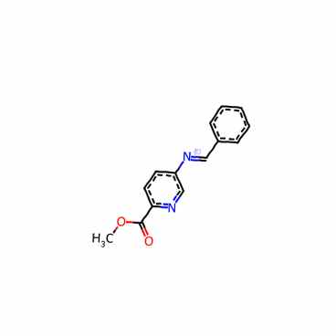 COC(=O)c1ccc(/N=C/c2ccccc2)cn1